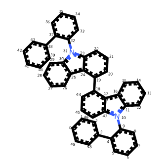 c1ccc(-c2ccccc2-n2c3ccccc3c3c(-c4cccc5c4c4ccccc4n5-c4ccccc4-c4ccccc4)cccc32)cc1